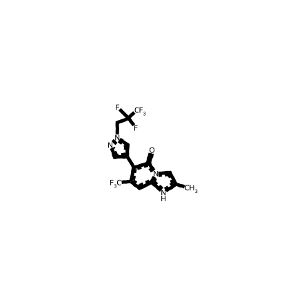 Cc1cn2c(=O)c(-c3cnn(CC(F)(F)C(F)(F)F)c3)c(C(F)(F)F)cc2[nH]1